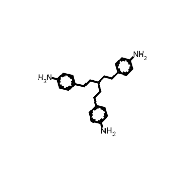 Nc1ccc(CCC(CCc2ccc(N)cc2)CCc2ccc(N)cc2)cc1